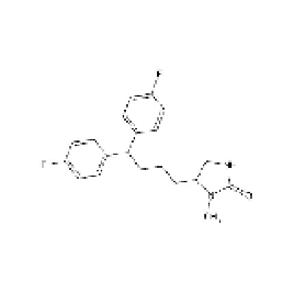 CN1C(=O)NCC1CCCC(c1ccc(F)cc1)c1ccc(F)cc1